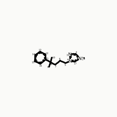 C[n+]1cnn(CCCC(C)(C)c2ccccc2)c1